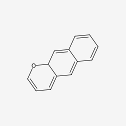 C1=COC2C=c3ccccc3=CC2=C1